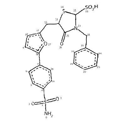 NS(=O)(=O)c1ccc(-c2ccc(CC3SC(S(=O)(=O)O)N(Cc4ccccc4)C3=O)o2)cc1